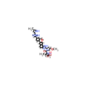 COCC1CC(c2nc3ccc4cc5c(cc4c3[nH]2)OCc2cc(-c3cnc(C4CC(C)CN4)[nH]3)ccc2-5)N(C(=O)C(NC(=O)O)C(C)C)C1